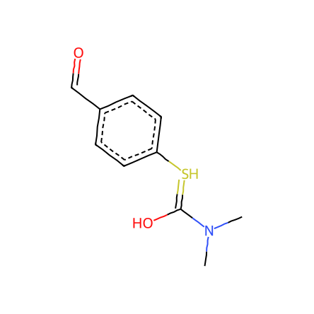 CN(C)C(O)=[SH]c1ccc(C=O)cc1